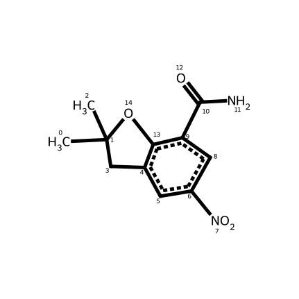 CC1(C)Cc2cc([N+](=O)[O-])cc(C(N)=O)c2O1